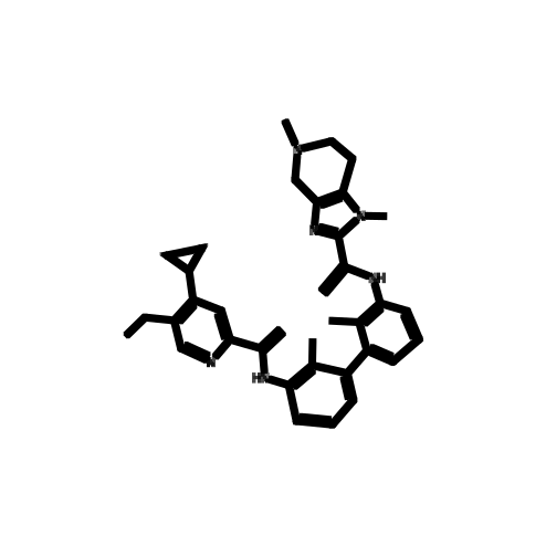 C=C(Nc1cccc(-c2cccc(NC(=C)c3nc4c(n3C)CCN(C)C4)c2C)c1C)c1cc(C2CC2)c(CC)cn1